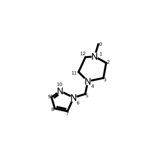 CN1CCN(Cn2cc[c]n2)CC1